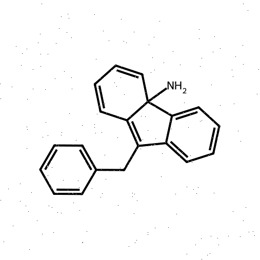 NC12C=CC=CC1=C(Cc1ccccc1)c1ccccc12